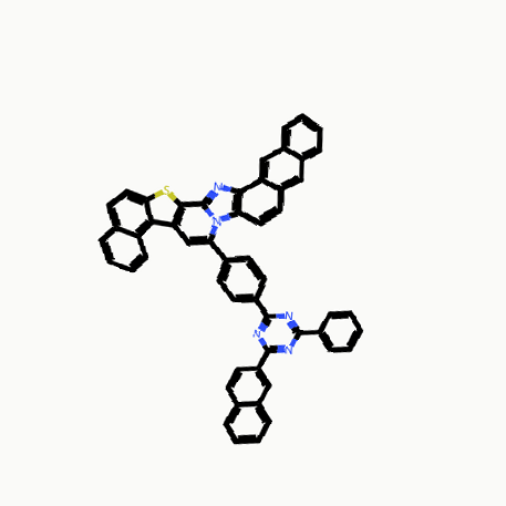 c1ccc(-c2nc(-c3ccc(-c4cc5c(sc6ccc7ccccc7c65)c5nc6c7cc8ccccc8cc7ccc6n45)cc3)nc(-c3ccc4ccccc4c3)n2)cc1